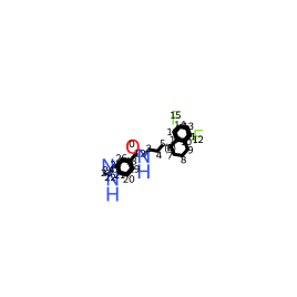 O=C(NCCC[C@H]1CCCc2c(F)cc(F)cc21)c1ccc2[nH]cnc2c1